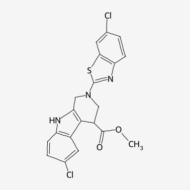 COC(=O)C1CN(c2nc3ccc(Cl)cc3s2)Cc2[nH]c3ccc(Cl)cc3c21